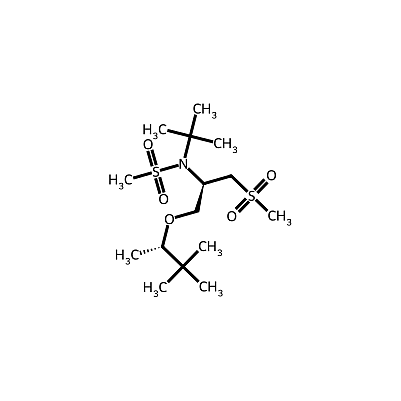 C[C@H](OC[C@H](CS(C)(=O)=O)N(C(C)(C)C)S(C)(=O)=O)C(C)(C)C